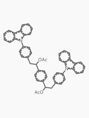 CC(=O)OC(Cc1ccc(-n2c3ccccc3c3ccccc32)cc1)c1ccc(C(Cc2ccc(-n3c4ccccc4c4ccccc43)cc2)OC(C)=O)cc1